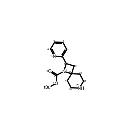 CC(C)(C)OC(=O)N1C(c2ccccn2)CC12CCNCC2